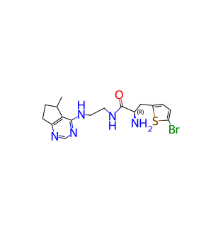 CC1CCc2ncnc(NCCNC(=O)[C@H](N)Cc3ccc(Br)s3)c21